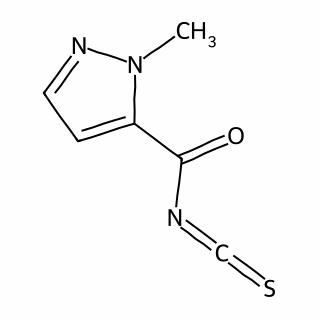 Cn1nccc1C(=O)N=C=S